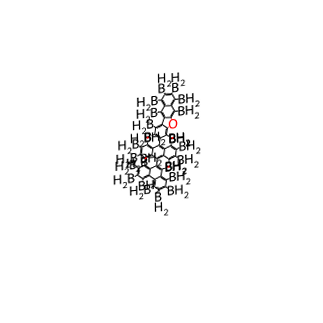 Bc1c(B)c(B)c2c(B)c3c(oc4c(B)c(-c5c6c(B)c(B)c(B)c(B)c6c(-c6c(B)c7c(B)c(B)c(B)c(B)c7c7c(B)c(B)c(B)c(B)c67)c6c(B)c(B)c(B)c(B)c56)c(B)c(B)c43)c(B)c2c1B